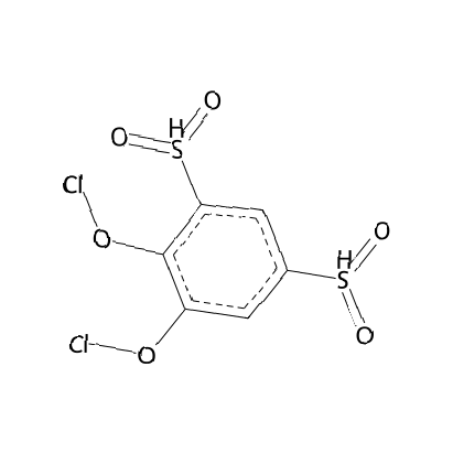 O=[SH](=O)c1cc(OCl)c(OCl)c([SH](=O)=O)c1